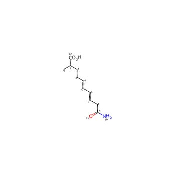 CC(CCC=CC=CCC(N)=O)C(=O)O